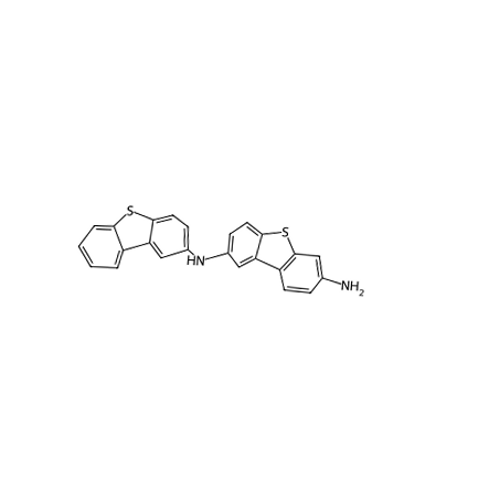 Nc1ccc2c(c1)sc1ccc(Nc3ccc4sc5ccccc5c4c3)cc12